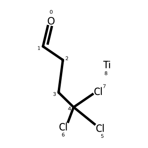 O=CCCC(Cl)(Cl)Cl.[Ti]